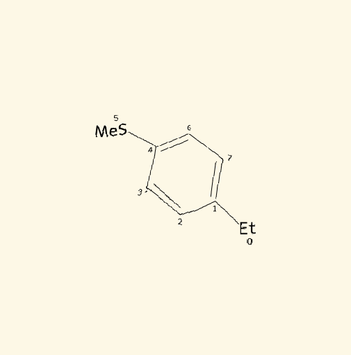 CCc1c[c]c(SC)cc1